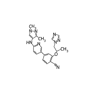 Cc1nn(C)cc1Nc1ccc(-c2ccc(C#N)c(OC(C)Cn3cncn3)c2)cn1